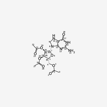 CC(=O)OC[C@H]1O[C@@H](N2CNc3c2nc(N)[nH]c3=O)[C@H](OC(C)=O)[C@@H]1OC(C)=O